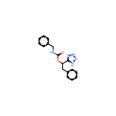 O=C(NCc1ccccc1)OC(Cc1ccccc1)c1nnn[nH]1